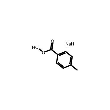 Cc1ccc(C(=O)OO)cc1.[NaH]